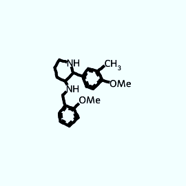 COc1ccc(C2NCCCC2NCc2ccccc2OC)cc1C